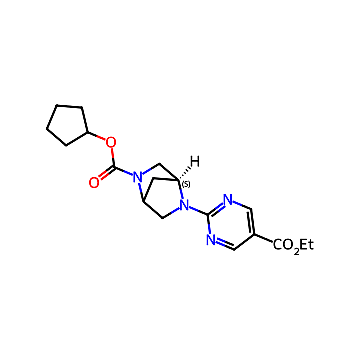 CCOC(=O)c1cnc(N2CC3C[C@H]2CN3C(=O)OC2CCCC2)nc1